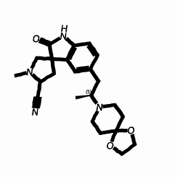 C[C@@H](Cc1ccc2c(c1)C1(CC(C#N)N(C)C1)C(=O)N2)N1CCC2(CC1)OCCO2